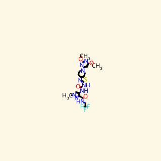 COc1cc(N2CCc3nc(NC(=O)Nc4cn(C)nc4C(=O)NCC(F)(F)F)sc3C2)nc(OC)n1